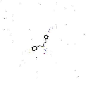 CC(=O)Nc1nc(CCc2ccc(NC(=O)CN)cc2)c(Cc2ccc(S(C)(=O)=O)cc2)s1.Cl